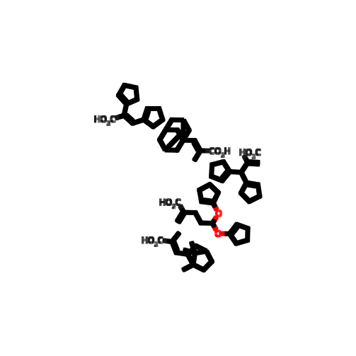 C=C(C(=O)O)C(C1=CCCC1)C1=CCCC1.C=C(CCC(OC1=CCCC1)OC1=CCCC1)C(=O)O.CC(=CC12CC3CC(CC(C3)C1)C2)C(=O)O.CC(=CC1CC2CCC1(C)C2(C)C)C(=O)O.O=C(O)C(=CC1=CCCC1)C1=CCCC1